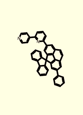 c1ccc(-c2cc3c4c(ccc5cc(-c6cccc(-c7ccncc7)n6)cc(c54)C34c3ccccc3-c3ccccc34)c2)cc1